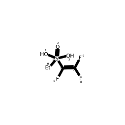 CCS(=O)(O)(O)C(F)=C(F)F